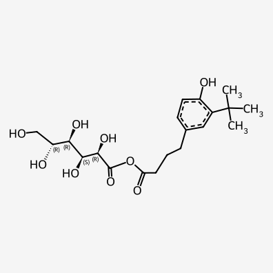 CC(C)(C)c1cc(CCCC(=O)OC(=O)[C@H](O)[C@@H](O)[C@H](O)[C@H](O)CO)ccc1O